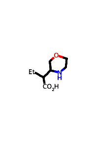 CCC(C(=O)O)C1COCCN1